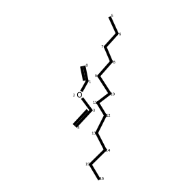 C=COC=C.CCCCCCCCCCCC